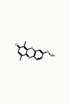 CCCCOc1ccc2nc3c(C)cc(=O)c(C)c-3sc2c1